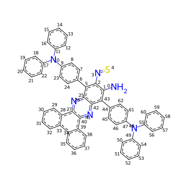 Nc1c(N=S)c(-c2ccc(N(c3ccccc3)c3ccccc3)cc2)c2nc3c4ccccc4c4ccccc4c3nc2c1-c1ccc(N(c2ccccc2)c2ccccc2)cc1